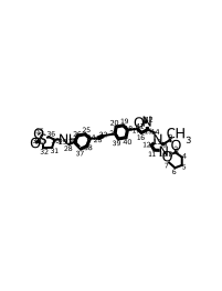 CC(OC1CCCCO1)c1nccn1Cc1cc(-c2ccc(C#Cc3ccc(CNC4CCS(=O)(=O)C4)cc3)cc2)on1